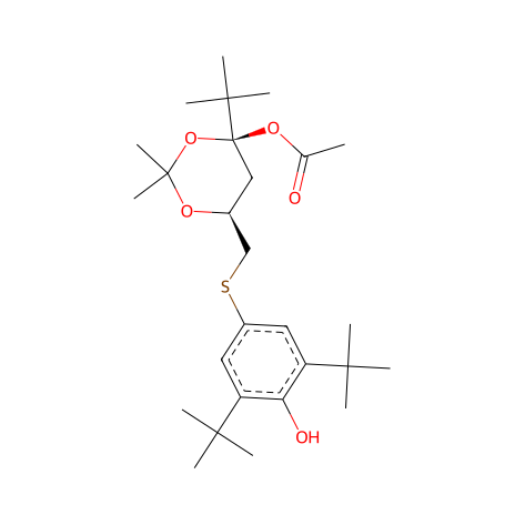 CC(=O)O[C@@]1(C(C)(C)C)C[C@@H](CSc2cc(C(C)(C)C)c(O)c(C(C)(C)C)c2)OC(C)(C)O1